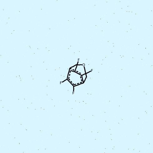 Fc1c(F)c2c(F)c(F)c1COC2